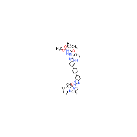 COC(=O)N[C@H](C(=O)N[C@@H](C)c1nc2ccc(-c3ccc(-c4ccc5nc([C@@H]6CCCN6C(=O)[C@@H](C(C)C)N(C)C)[nH]c5c4)cc3)cc2[nH]1)C(C)C